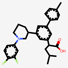 Cc1ccc(-c2cc(C3CCCN(c4ccc(F)c(F)c4)C3)cc(C(CC(C)C)C(=O)O)c2)cc1